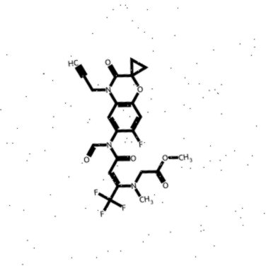 C#CCN1C(=O)C2(CC2)Oc2cc(F)c(N(C=O)C(=O)/C=C(\N(C)CC(=O)OC)C(F)(F)F)cc21